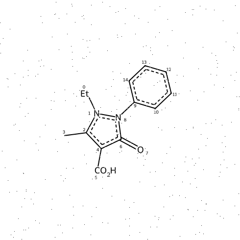 CCn1c(C)c(C(=O)O)c(=O)n1-c1ccccc1